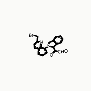 O=CC(=O)C1c2ccccc2CN1c1cccc2ccc(CBr)nc12